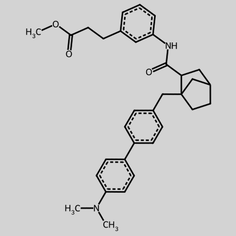 COC(=O)CCc1cccc(NC(=O)C2CC3CCC2(Cc2ccc(-c4ccc(N(C)C)cc4)cc2)C3)c1